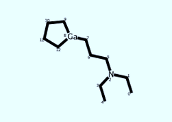 CCN(CC)CC[CH2][Ga]1[CH2]CC[CH2]1